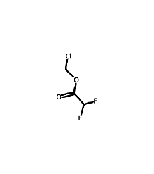 O=C(OCCl)C(F)F